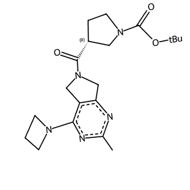 Cc1nc2c(c(N3CCC3)n1)CN(C(=O)[C@@H]1CCN(C(=O)OC(C)(C)C)C1)C2